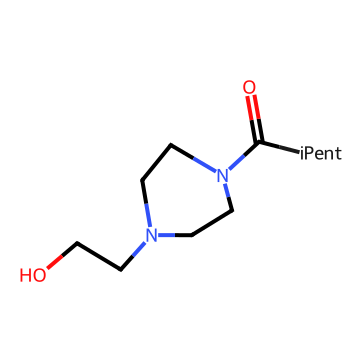 CCCC(C)C(=O)N1CCN(CCO)CC1